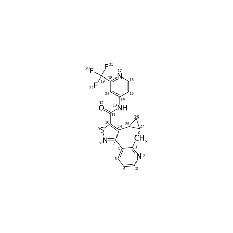 Cc1ncccc1-c1nsc(C(=O)Nc2ccnc(C(F)(F)F)c2)c1C1CC1